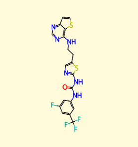 O=C(Nc1cc(F)cc(C(F)(F)F)c1)Nc1ncc(CCNc2ncnc3ccsc23)s1